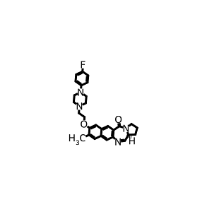 Cc1cc2cc3c(cc2cc1OCCN1CCN(c2ccc(F)cc2)CC1)C(=O)N1CCC[C@H]1C=N3